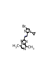 Cc1ncc(C)n2nc(/C=C/c3nc(Br)cn3C3CC3)nc12